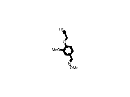 C#CCOc1ccc(/C=N/OC)cc1OC